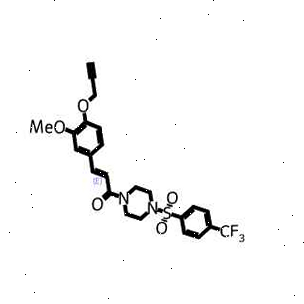 C#CCOc1ccc(/C=C/C(=O)N2CCN(S(=O)(=O)c3ccc(C(F)(F)F)cc3)CC2)cc1OC